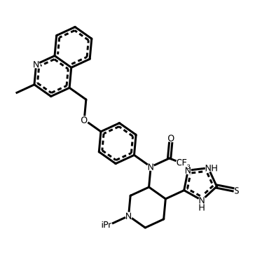 Cc1cc(COc2ccc(N(C(=O)C(F)(F)F)C3CN(C(C)C)CCC3c3n[nH]c(=S)[nH]3)cc2)c2ccccc2n1